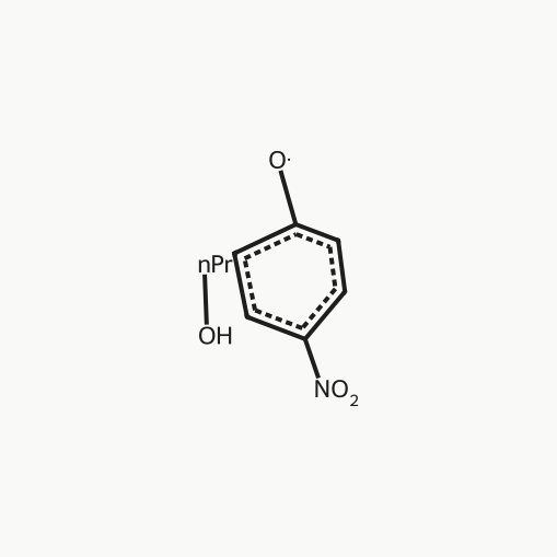 CCCO.[O]c1ccc([N+](=O)[O-])cc1